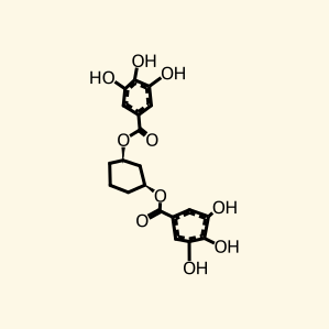 O=C(O[C@@H]1CCC[C@H](OC(=O)c2cc(O)c(O)c(O)c2)C1)c1cc(O)c(O)c(O)c1